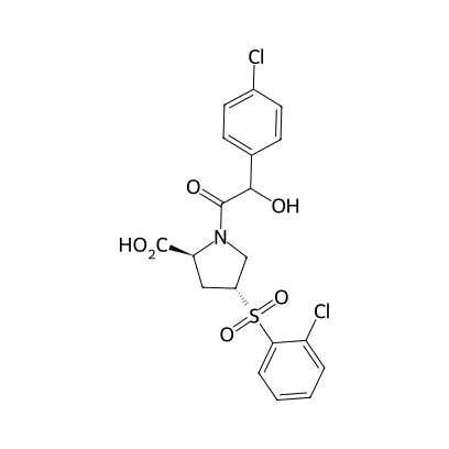 O=C(O)[C@@H]1C[C@@H](S(=O)(=O)c2ccccc2Cl)CN1C(=O)C(O)c1ccc(Cl)cc1